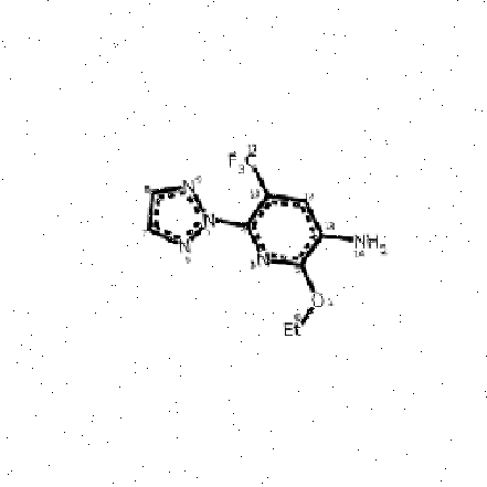 CCOc1nc(-n2nccn2)c(C(F)(F)F)cc1N